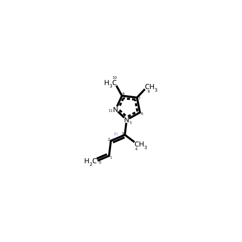 C=C/C=C(\C)n1cc(C)c(C)n1